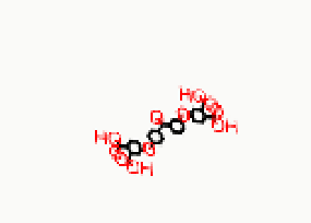 O=C(c1ccc(Oc2ccc(C(=O)O)c(C(=O)O)c2)cc1)c1cccc(Oc2ccc(C(=O)O)c(C(=O)O)c2)c1